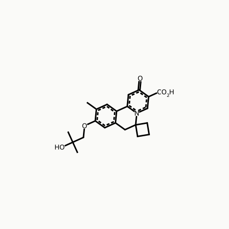 Cc1cc2c(cc1OCC(C)(C)O)CC1(CCC1)n1cc(C(=O)O)c(=O)cc1-2